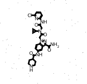 NC(=O)c1nn(CC(=O)N(CC(=O)Nc2cccc(Cl)n2)C2CC2)c2ccc(NC(=O)C3CCNCC3)cc12